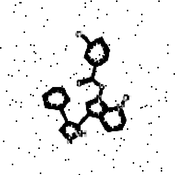 O=C(On1cc(-c2[nH]ncc2-c2ccccc2)c2ccc[n+]([O-])c21)c1cccc(Cl)c1